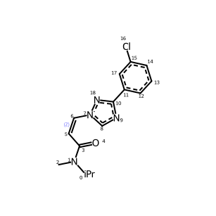 CC(C)N(C)C(=O)/C=C\n1cnc(-c2cccc(Cl)c2)n1